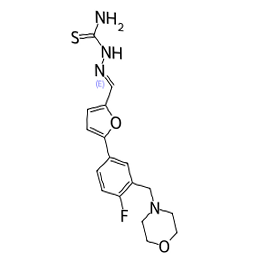 NC(=S)N/N=C/c1ccc(-c2ccc(F)c(CN3CCOCC3)c2)o1